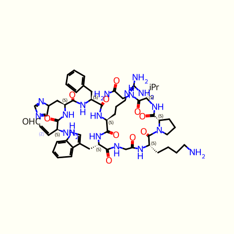 CC(C)[C@H](NC(=O)[C@@H]1CCCN1C(=O)[C@H](CCCCN)NC(=O)CNC(=O)[C@H](Cc1c[nH]c2ccccc12)NC(=O)[C@H](CCCN=C(N)N)NC(=O)[C@H](Cc1ccccc1)NC(=O)[C@H](CC1C=NC=N1)NC(=O)[C@@H](N)/C=C\C=O)C(=O)NCC(N)=O